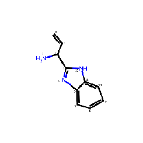 C=CC(N)c1nc2ccccc2[nH]1